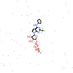 CP(=O)(O)OOC[C@H]1O[C@@H](n2ccc3c(NC4CCCC4)nc(C(F)(F)F)nc32)[C@H](O)[C@@H]1O